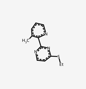 CCSc1ccnc(-c2ncccc2C)n1